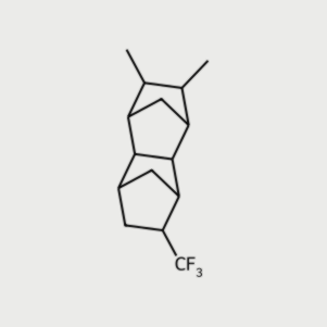 CC1C(C)C2CC1C1C3CC(C21)C(C(F)(F)F)C3